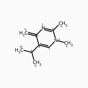 C=C1N=C(C)N(C)C=C1C(C)C